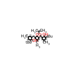 C=C(C)C(=O)Oc1c(Cc2cc(C)cc(C(C)(C)C)c2O)cc(C)cc1Cc1cc(C)cc(C(C)(C)C)c1O